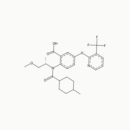 COC[C@H](C)N(C(=O)C1CCC(C)CC1)c1ccc(Oc2ncccc2C(F)(F)F)cc1C(=O)O